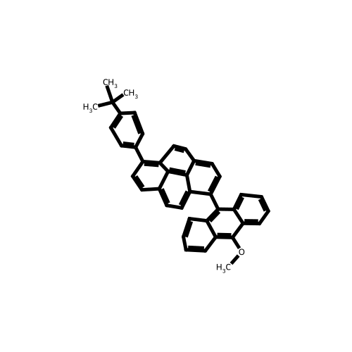 COc1c2ccccc2c(-c2ccc3ccc4c(-c5ccc(C(C)(C)C)cc5)ccc5ccc2c3c54)c2ccccc12